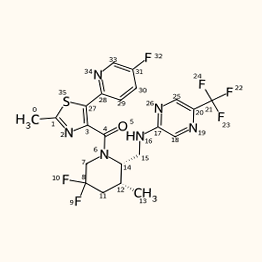 Cc1nc(C(=O)N2CC(F)(F)C[C@@H](C)[C@H]2CNc2cnc(C(F)(F)F)cn2)c(-c2ccc(F)cn2)s1